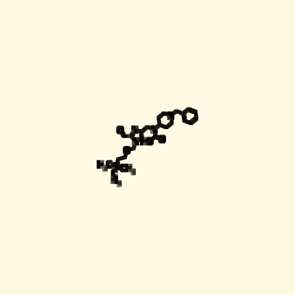 C[Si](C)(C)CCOCn1cc(CN(C(=O)O)C2CCN(Cc3ccccc3)CC2)nc1C=O